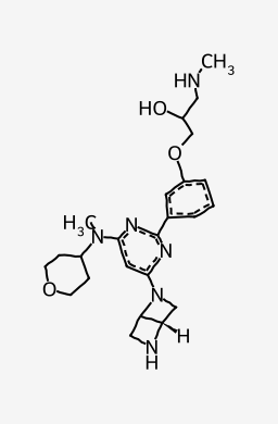 CNCC(O)COc1cccc(-c2nc(N(C)C3CCOCC3)cc(N3C[C@@H]4NCC43)n2)c1